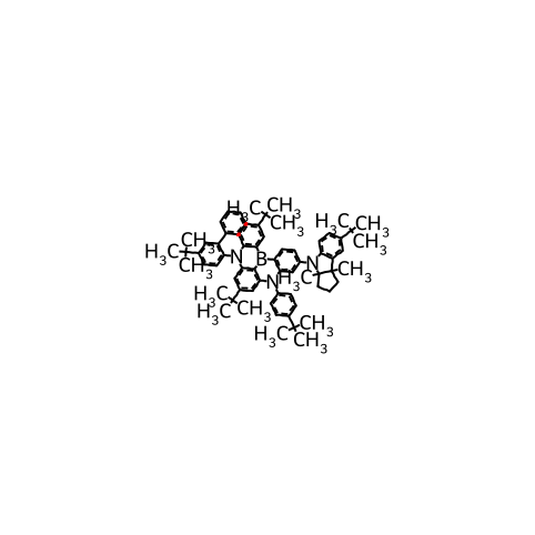 CC(C)(C)c1ccc(N2c3cc(N4c5ccc(C(C)(C)C)cc5C5(C)CCCC45C)ccc3B3c4cc(C(C)(C)C)ccc4N(c4ccc(C(C)(C)C)cc4-c4ccccc4)c4cc(C(C)(C)C)cc2c43)cc1